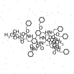 CC(C)(C)OC(=O)N[C@@H](C[C@H](CNC(=O)OCc1ccccc1)O[Si](C)(C)C(C)(C)C)C(=O)N[C@@H](Cc1cc(-c2ccc(OCc3ccccc3)c(C[C@H](NC(=O)OCc3ccccc3)C(=O)OCC[Si](C)(C)C)c2)ccc1OCc1ccccc1)C(=O)N[C@@H](Cc1ccccc1)C(=O)OCc1ccccc1